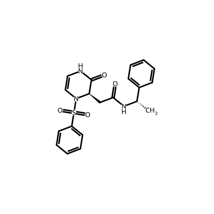 C[C@H](NC(=O)C[C@@H]1C(=O)NC=CN1S(=O)(=O)c1ccccc1)c1ccccc1